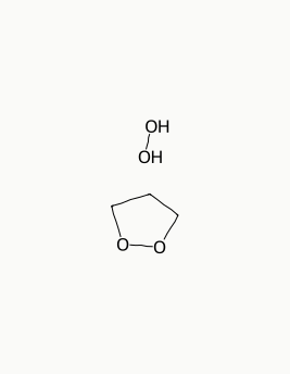 C1COOC1.OO